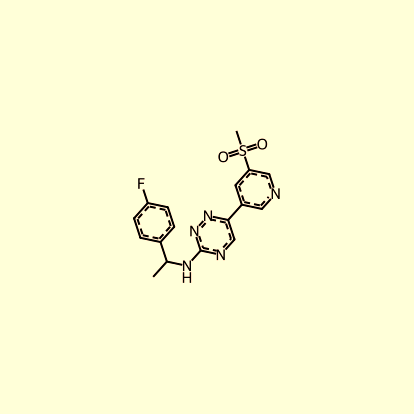 CC(Nc1ncc(-c2cncc(S(C)(=O)=O)c2)nn1)c1ccc(F)cc1